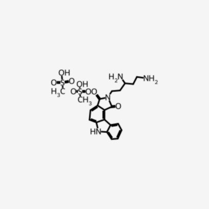 CS(=O)(=O)O.CS(=O)(=O)O.NCCC(N)CCN1C(=O)c2ccc3[nH]c4ccccc4c3c2C1=O